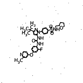 Cc1cc(Oc2ccc(NC(=O)Nc3cc(C(C)(C)C)nn3-c3ccc(S(=O)(=O)NCC4CCCO4)cc3)c(F)c2)ccn1